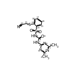 Cc1nc(C)nc(NC(=O)NS(=O)(=O)c2ccccc2SCC#N)n1